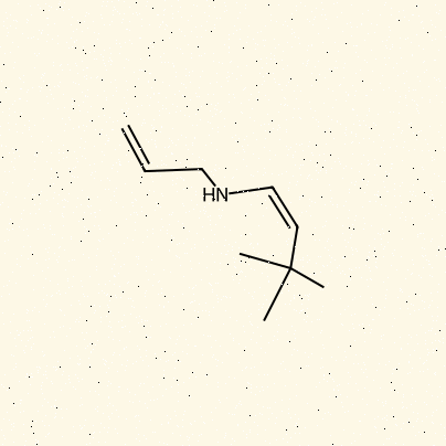 C=CCN/C=C\C(C)(C)C